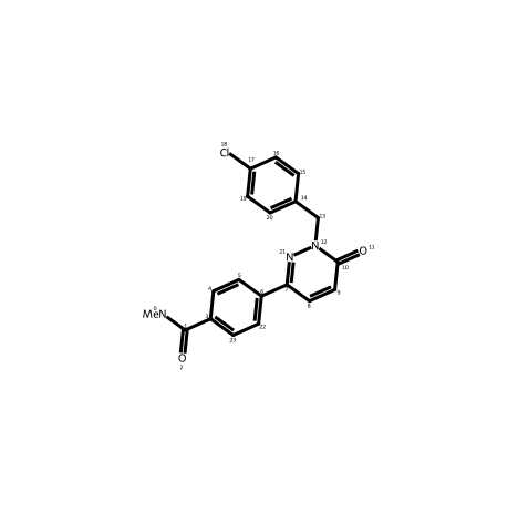 CNC(=O)c1ccc(-c2ccc(=O)n(Cc3ccc(Cl)cc3)n2)cc1